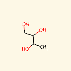 CC(O)C(O)CO